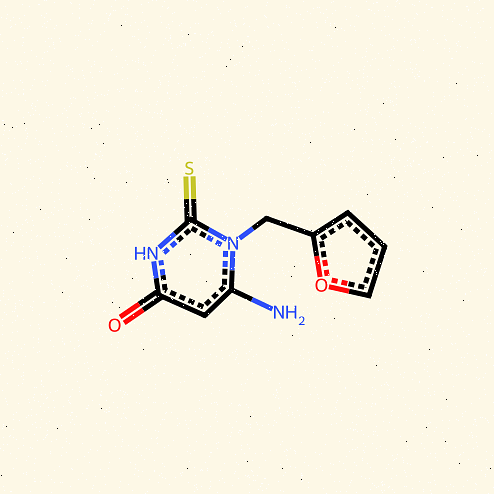 Nc1cc(=O)[nH]c(=S)n1Cc1ccco1